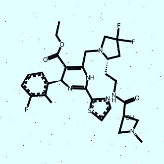 CCOC(=O)C1=C(CN2CC(F)(F)C[C@@H]2CCNC(=O)C2(O)CN(C)C2)NC(c2nccs2)=N[C@H]1c1cccc(F)c1C